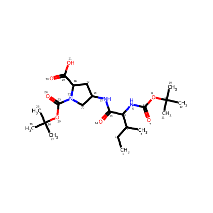 CCC(C)C(NC(=O)OC(C)(C)C)C(=O)NC1CC(C(=O)O)N(C(=O)OC(C)(C)C)C1